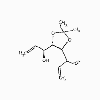 C=CC(O)C1OC(C)(C)O[C@H]1[C@@H](O)C=C